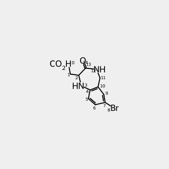 O=C(O)CC1Nc2ccc(Br)cc2CNC1=O